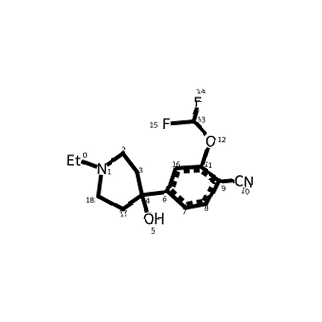 CCN1CCC(O)(c2ccc(C#N)c(OC(F)F)c2)CC1